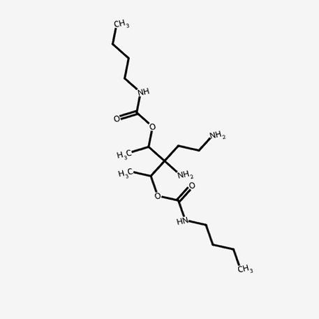 CCCCNC(=O)OC(C)C(N)(CCN)C(C)OC(=O)NCCCC